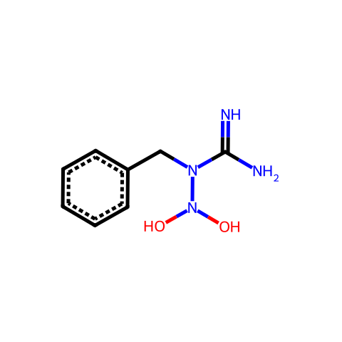 N=C(N)N(Cc1ccccc1)N(O)O